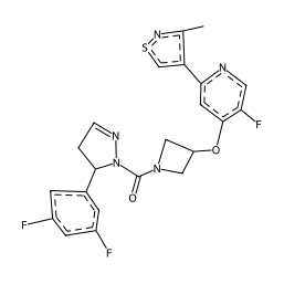 Cc1nscc1-c1cc(OC2CN(C(=O)N3N=CCC3c3cc(F)cc(F)c3)C2)c(F)cn1